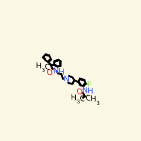 CC(C)C(=O)Nc1cc(C2CCN(CCCNC(=O)C(C)(c3ccccc3)c3ccccc3)CC2)ccc1F